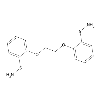 NSc1ccccc1OCCOc1ccccc1SN